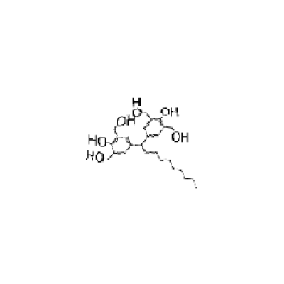 CCCCCCCCCC(c1cc(CO)c(O)c(CO)c1)c1cc(CO)c(O)c(CO)c1